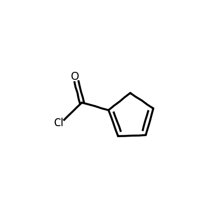 O=C(Cl)C1=CC=CC1